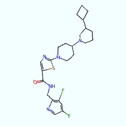 O=C(NCc1ncc(F)cc1F)c1cnc(N2CCC(N3CCCC(C4CCC4)C3)CC2)s1